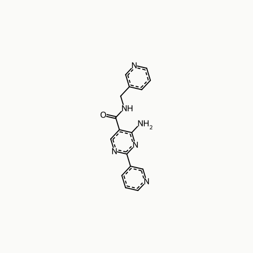 Nc1nc(-c2cccnc2)ncc1C(=O)NCc1cccnc1